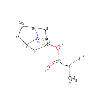 CC(I)C(=O)OC1CC2CCC(C1)N2C